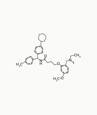 CCN(I)Cc1ccc(OC)cc1OCCCC(=O)NC(c1ccc(C)cc1)c1ccc(C2CCCCC2)cc1